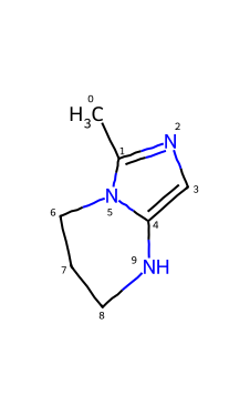 Cc1ncc2n1CCCN2